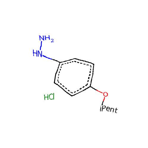 CCCC(C)Oc1ccc(NN)cc1.Cl